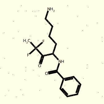 CC(F)(F)C(=O)C(CCCCN)NC(=O)c1ccccc1